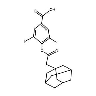 O=C(CC12CC3CC(CC(C3)C1)C2)Oc1c(I)cc(C(=O)O)cc1I